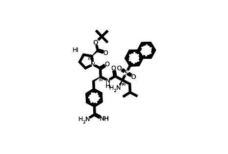 CC(C)C[C@](N)(C(=O)N[C@@H](Cc1ccc(C(=N)N)cc1)C(=O)N1CCC[C@H]1C(=O)OC(C)(C)C)S(=O)(=O)c1ccc2ccccc2c1.I